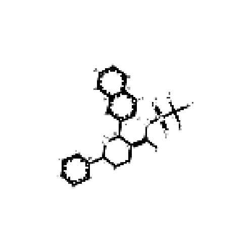 C/C(OS(=O)(=O)C(F)(F)F)=C1\CCC(c2ccccc2)OC1c1ccc2ccccc2c1